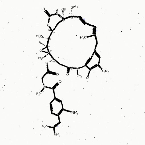 COc1cc2cc(c1Cl)N(C)C(=O)C[C@H](OC(=O)CN(C)C(=O)c1ccc(/C=C(\C)N)c(N)c1)[C@]1(C)O[C@H]1[C@H](C)[C@@H]1C[C@@](O)(NC(=O)O1)[C@H](OC)/C=C/C=C(\C)C2